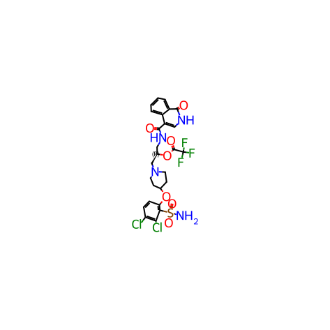 NS(=O)(=O)c1c(OC2CCN(C[C@@H](CNC(=O)c3c[nH]c(=O)c4ccccc34)OC(=O)C(F)(F)F)CC2)ccc(Cl)c1Cl